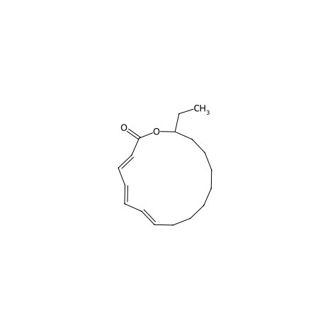 CCC1CCCCCCC/C=C/C=C/C=C/C(=O)O1